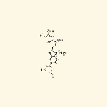 CNC(CCc1nc2cc(N(CCCl)CCCl)ccc2n1C)C(=O)NC(CC(C)C)C(=O)O.Cl.Cl